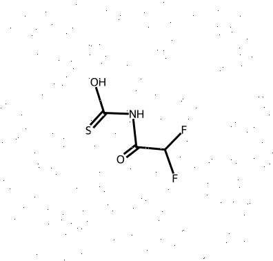 O=C(NC(O)=S)C(F)F